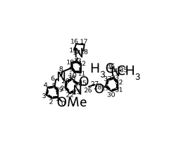 COc1cccc(CN(Cc2cccc(N3CCCC3)c2)c2ccnc(OCCOc3cccc(N(C)C)c3)c2)c1